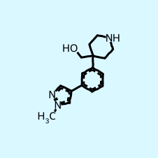 Cn1cc(-c2cccc(C3(CO)CCNCC3)c2)cn1